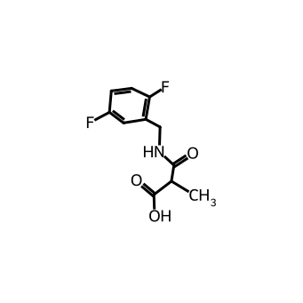 CC(C(=O)O)C(=O)NCc1cc(F)ccc1F